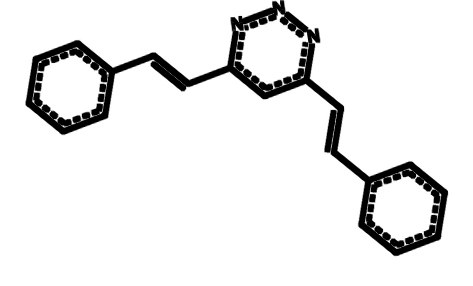 C(=Cc1cc(C=Cc2ccccc2)nnn1)c1ccccc1